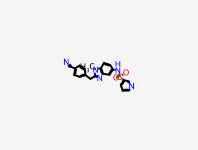 Cn1c(Cc2ccc(C#N)cc2)nc2cc(NS(=O)(=O)c3cccnc3)ccc21